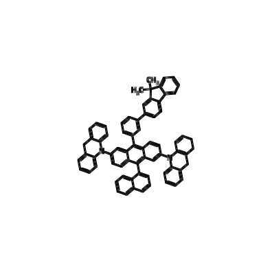 CC1(C)c2ccccc2-c2ccc(-c3cccc(-c4c5cc(N6c7ccccc7Cc7ccccc76)ccc5c(-c5cccc6ccccc56)c5cc(N6C7=C(CCC=C7)Cc7ccccc76)ccc45)c3)cc21